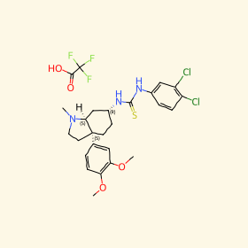 COc1ccc([C@@]23CC[C@@H](NC(=S)Nc4ccc(Cl)c(Cl)c4)C[C@@H]2N(C)CC3)cc1OC.O=C(O)C(F)(F)F